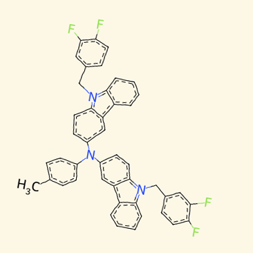 Cc1ccc(N(c2ccc3c(c2)c2ccccc2n3Cc2ccc(F)c(F)c2)c2ccc3c(c2)c2ccccc2n3Cc2ccc(F)c(F)c2)cc1